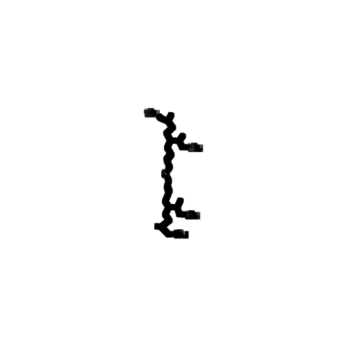 CC(CCC(CC=CCOCC=CCC(CCC(C)CC(C)(C)C)C(C)CC(C)(C)C)C(C)CC(C)(C)C)CC(C)(C)C